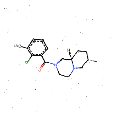 COc1cccc(C(=O)N2CCN3C[C@@H](C)CC[C@H]3C2)c1Cl